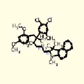 C=C(/C=C/C=C1/N(C)c2ccc3ccccc3c2C1(C)C)C(C)(Cc1ccc(OC)cc1OC)c1cc(Cl)c(Cl)cc1C